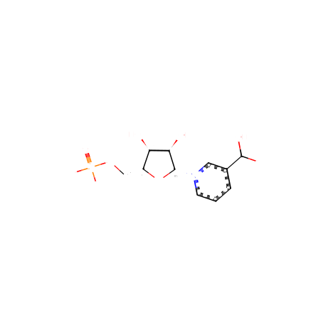 O=P(O)(O)OC[C@H]1O[C@@H]([n+]2cccc(C(O)O)c2)[C@H](O)[C@@H]1O